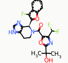 CC(C)(O)c1nc(C(F)F)c(C(=O)N2CCc3[nH]cnc3[C@H]2c2oc3ccccc3c2F)o1